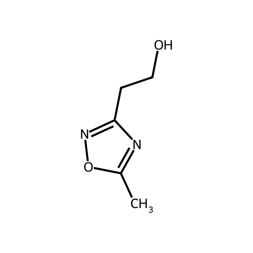 Cc1nc(CCO)no1